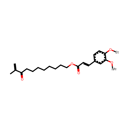 C=C(C)C(=O)CCCCCCCCOC(=O)/C=C/c1ccc(OCC)c(OCCC)c1